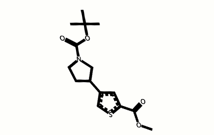 COC(=O)c1cc(C2CCN(C(=O)OC(C)(C)C)C2)cs1